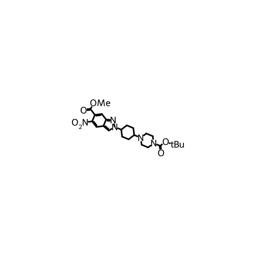 COC(=O)c1cc2nn(C3CCC(N4CCN(C(=O)OC(C)(C)C)CC4)CC3)cc2cc1[N+](=O)[O-]